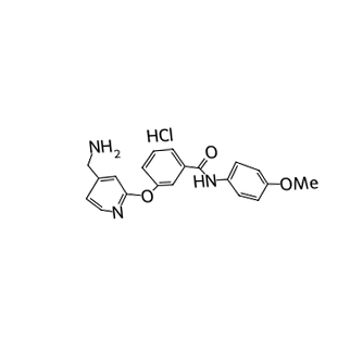 COc1ccc(NC(=O)c2cccc(Oc3cc(CN)ccn3)c2)cc1.Cl